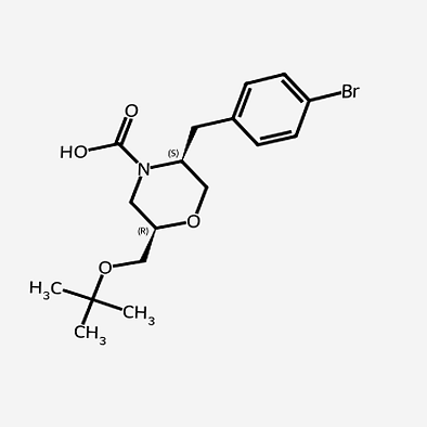 CC(C)(C)OC[C@H]1CN(C(=O)O)[C@@H](Cc2ccc(Br)cc2)CO1